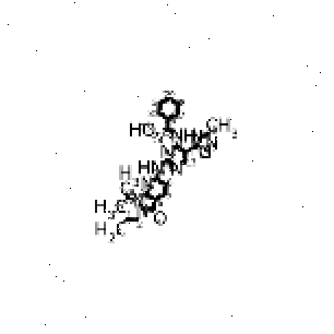 C=CCn1c(=O)c2ccc(Nc3ncc(-c4nc(C)no4)c(N[C@H](CO)c4ccccc4)n3)nc2n1C(C)C